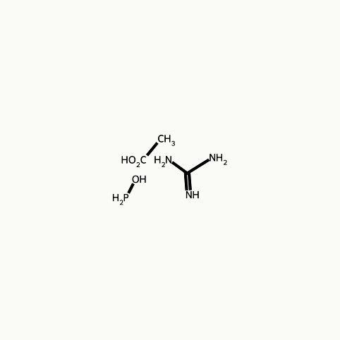 CC(=O)O.N=C(N)N.OP